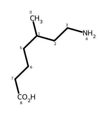 CC(CCN)CCCC(=O)O